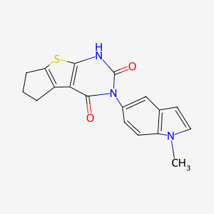 Cn1ccc2cc(-n3c(=O)[nH]c4sc5c(c4c3=O)CCC5)ccc21